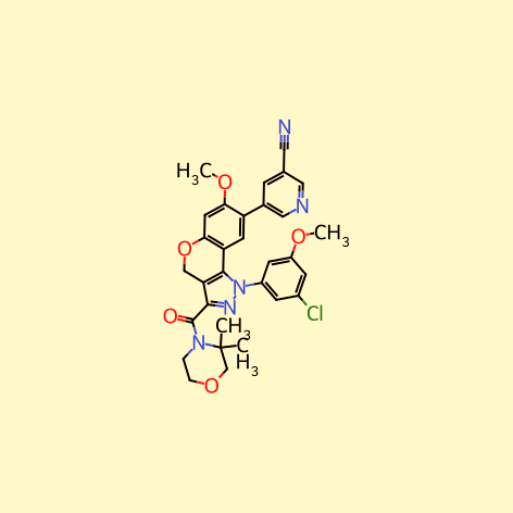 COc1cc(Cl)cc(-n2nc(C(=O)N3CCOCC3(C)C)c3c2-c2cc(-c4cncc(C#N)c4)c(OC)cc2OC3)c1